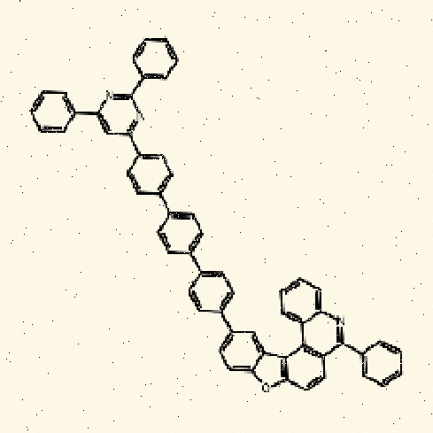 c1ccc(-c2cc(-c3ccc(-c4ccc(-c5ccc(-c6ccc7oc8ccc9c(-c%10ccccc%10)nc%10ccccc%10c9c8c7c6)cc5)cc4)cc3)nc(-c3ccccc3)n2)cc1